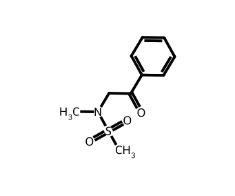 CN(CC(=O)c1ccccc1)S(C)(=O)=O